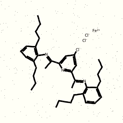 CCCCc1cccc(CCCC)c1N=C(C)c1cc(Cl)cc(C(C)=Nc2c(CCCC)cccc2CCCC)n1.[Cl-].[Cl-].[Fe+2]